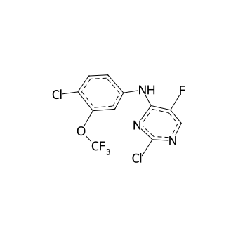 Fc1cnc(Cl)nc1Nc1ccc(Cl)c(OC(F)(F)F)c1